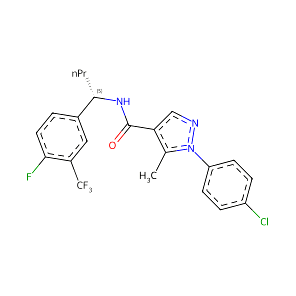 CCC[C@H](NC(=O)c1cnn(-c2ccc(Cl)cc2)c1C)c1ccc(F)c(C(F)(F)F)c1